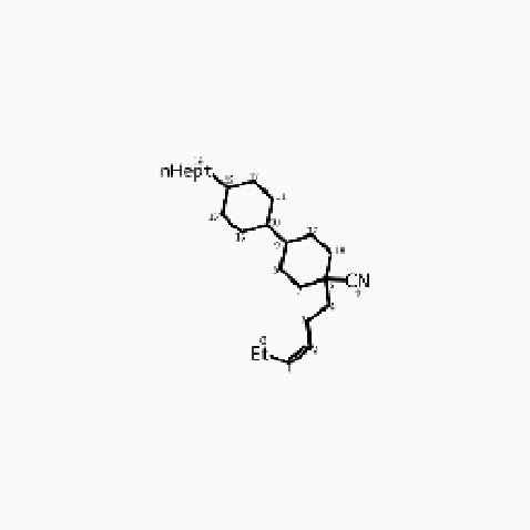 CC/C=C\CCC1(C#N)CCC(C2CCC(CCCCCCC)CC2)CC1